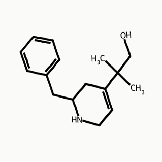 CC(C)(CO)C1=CCNC(Cc2ccccc2)C1